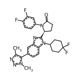 Cc1nnn(C)c1-c1ccc2c(c1)nc([C@@H]1CCC(=O)N1c1ccc(F)c(F)c1)n2C1CCC(F)(F)CC1